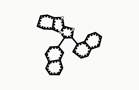 c1ccc2cc(-c3c(-c4cccc5ccccc45)nc4oc5ccccc5n34)ccc2c1